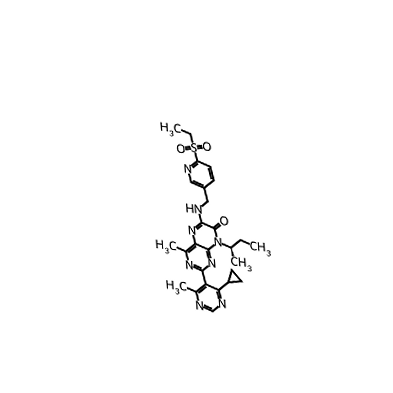 CC[C@@H](C)n1c(=O)c(NCc2ccc(S(=O)(=O)CC)nc2)nc2c(C)nc(-c3c(C)ncnc3C3CC3)nc21